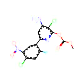 COC(=O)Oc1nc(-c2cc([N+](=O)[O-])c(Cl)cc2F)cc(N)c1Cl